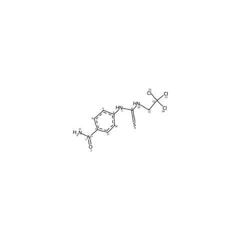 N[N+](=O)c1ccc(NC(=S)N[CH]C(Cl)(Cl)Cl)cc1